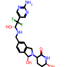 Nc1ncc(C(F)(F)[C@@H](O)NCc2ccc3c(c2)CN(C2CC[C@H](O)NC2=O)[C@H]3O)cn1